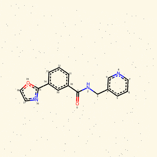 O=C(NCc1cccnc1)c1cccc(-c2ncco2)c1